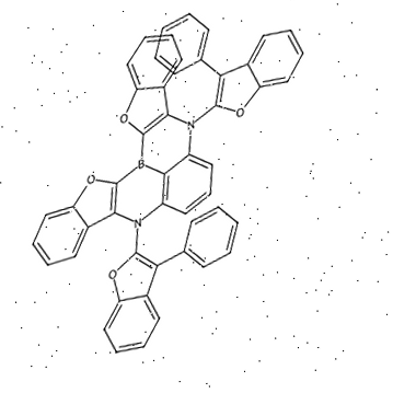 c1ccc(-c2c(N3c4cccc5c4B(c4oc6ccccc6c43)c3oc4ccccc4c3N5c3oc4ccccc4c3-c3ccccc3)oc3ccccc23)cc1